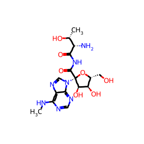 CNc1ncnc2c1ncn2[C@]1(C(=O)NC(=O)[C@@H](N)[C@@H](C)O)O[C@H](CO)[C@@H](O)[C@H]1O